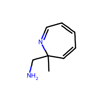 CC1(CN)C=CC=CC=N1